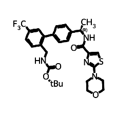 C[C@@H](NC(=O)c1csc(N2CCOCC2)n1)c1ccc(-c2cc(C(F)(F)F)ccc2CNC(=O)OC(C)(C)C)cc1